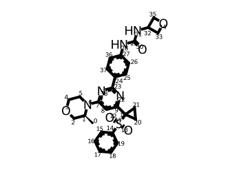 C[C@H]1COCCN1c1cc(C2(S(=O)(=O)c3ccccc3)CC2)nc(-c2ccc(NC(=O)NC3COC3)cc2)n1